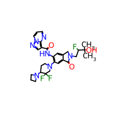 CC(C)(O)C(F)CN1Cc2cc(NC(=O)c3cnn4cccnc34)c(N3CCC(N4CCC4)C(F)(F)C3)cc2C1=O